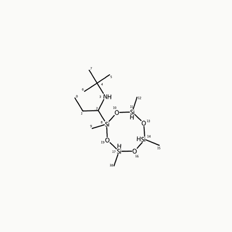 CCC(NC(C)(C)C)[Si]1(C)O[SiH](C)O[SiH](C)O[SiH](C)O1